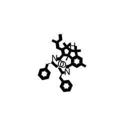 C=C/C(C)=C\C1=C(C2=N[C@@H](Cc3ccccc3)CO2)[C@@]2(C)c3c(C4=N[C@@H](Cc5ccccc5)CO4)cc(C)cc3C(C)(C)[C@H]2C1(C)C